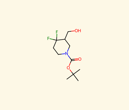 CC(C)(C)OC(=O)N1CCC(F)(F)C(CO)C1